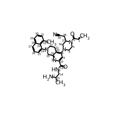 C=CC(=O)N1CCN(c2cc(C(=O)NCC(C)N)nc3c2CCN(c2cccc4cccc(C)c24)C3)CC1CC#N